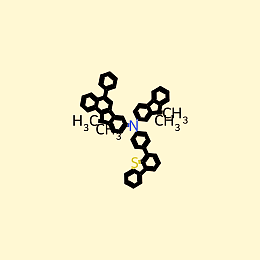 CC1(C)c2ccccc2-c2ccc(N(c3ccc(-c4cccc5c4sc4ccccc45)cc3)c3ccc4c(c3)-c3cc(-c5ccccc5)c5ccccc5c3C4(C)C)cc21